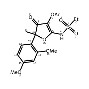 CCS(=O)(=O)NC1=C(OC(C)=O)C(=O)C(C)(c2ccc(OC)cc2OC)O1